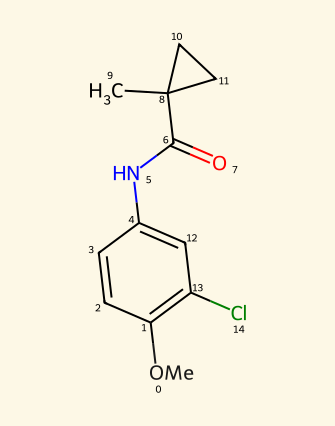 COc1ccc(NC(=O)C2(C)CC2)cc1Cl